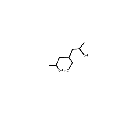 CC(O)C[C](CO)CC(C)O